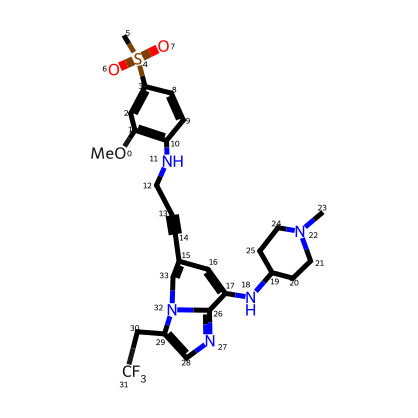 COc1cc(S(C)(=O)=O)ccc1NCC#Cc1cc(NC2CCN(C)CC2)c2ncc(CC(F)(F)F)n2c1